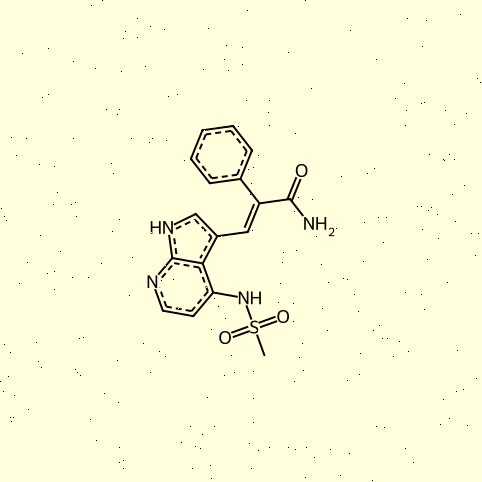 CS(=O)(=O)Nc1ccnc2[nH]cc(/C=C(/C(N)=O)c3ccccc3)c12